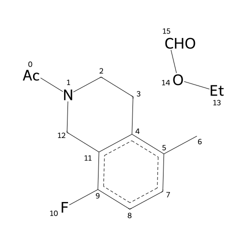 CC(=O)N1CCc2c(C)ccc(F)c2C1.CCOC=O